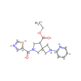 CCOC(=O)C1CN(C(=O)c2cncs2)CC12CN(c1ccccn1)C2